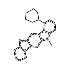 Cn1c2cc3c(cc2c2c(C4CCCCC4)cccc21)sc1ccccc13